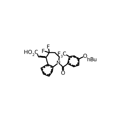 CCCCOc1ccc(C(=O)N2CCC(F)(F)C(=CC(=O)O)c3ccccc32)c(C(F)(F)F)c1